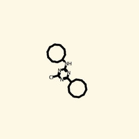 Clc1nc(NC2CCCCCCCCC2)nc(C2CCCCCCCCC2)n1